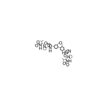 COC(=O)N[C@H](C(=O)N1CCCC1c1ncc(-c2ccc3c(c2)COCc2cc(-c4cnc([C@@H]5CCCN5C(=O)[C@@H](NC(=O)OC)C(C)C)[nH]4)ccc2-3)[nH]1)C(C)C